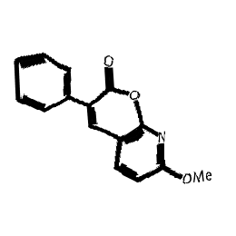 COc1ccc2cc(-c3ccccc3)c(=O)oc2n1